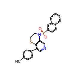 N#Cc1ccc(-c2cncc3c2SCCN3S(=O)(=O)c2ccc3ccccc3c2)cc1